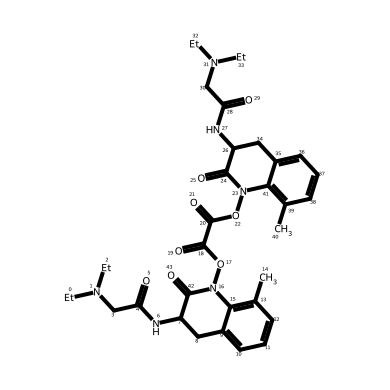 CCN(CC)CC(=O)NC1Cc2cccc(C)c2N(OC(=O)C(=O)ON2C(=O)C(NC(=O)CN(CC)CC)Cc3cccc(C)c32)C1=O